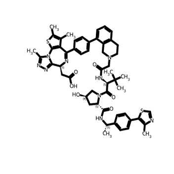 Cc1ncsc1-c1ccc([C@H](C)NC(=O)[C@@H]2C[C@@H](O)CN2C(=O)[C@@H](NC(=O)CN2CCc3cccc(-c4ccc(C5=N[C@@H](CC(=O)O)c6nnc(C)n6-c6sc(C)c(C)c65)cc4)c3C2)C(C)(C)C)cc1